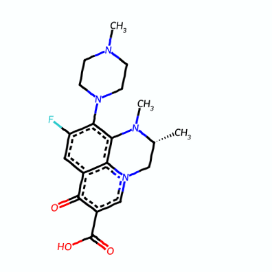 C[C@@H]1Cn2cc(C(=O)O)c(=O)c3cc(F)c(N4CCN(C)CC4)c(c32)N1C